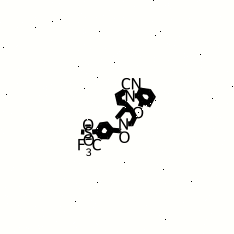 CS(=O)(=O)c1ccc(C(=O)N2CCC3(CC2)Oc2ccccc2-n2c(C#N)ccc23)cc1C(F)(F)F